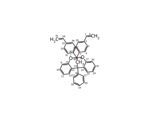 C=Cc1ccc(COc2ccccc2C(C)(c2ccccc2)c2ccccc2OCc2ccc(C=C)cc2)cc1